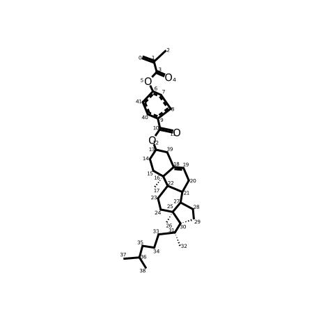 C=C(C)C(=O)Oc1ccc(C(=O)OC2CC[C@@]3(C)C(=CCC4C3CC[C@@]3(C)C4CC[C@@H]3[C@H](C)CCCC(C)C)C2)cc1